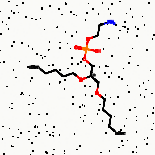 CCCCCCCCCCCCCCOC[C@H](COP(=O)(O)OCCN)OCCCCCCCCCCCCCC